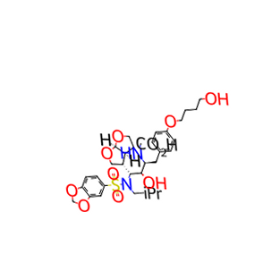 CC(C)CN(C([C@H](O)[C@H](Cc1ccc(OCCCCO)cc1)NC(=O)O)[C@@H]1CO[C@H]2OCC[C@H]21)S(=O)(=O)c1ccc2c(c1)OCO2